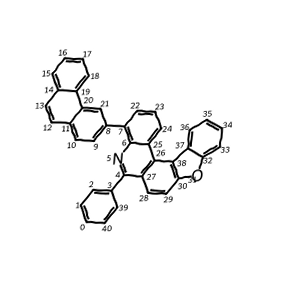 c1ccc(-c2nc3c(-c4ccc5ccc6ccccc6c5c4)cccc3c3c2ccc2oc4ccccc4c23)cc1